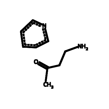 CC(=O)CCN.c1ccncc1